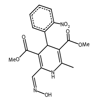 COC(=O)C1=C(C)NC(/C=N\O)=C(C(=O)OC)C1c1ccccc1[N+](=O)[O-]